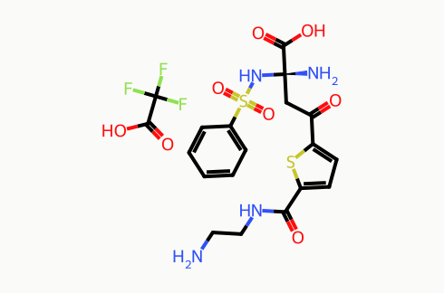 NCCNC(=O)c1ccc(C(=O)C[C@](N)(NS(=O)(=O)c2ccccc2)C(=O)O)s1.O=C(O)C(F)(F)F